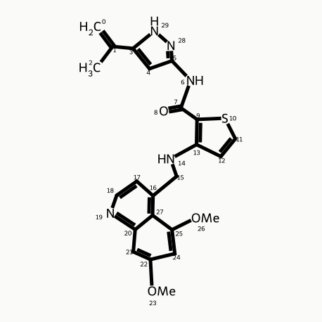 C=C(C)c1cc(NC(=O)c2sccc2NCc2ccnc3cc(OC)cc(OC)c23)n[nH]1